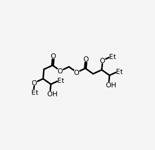 CCOC(CC(=O)OCOC(=O)CC(OCC)C(O)CC)C(O)CC